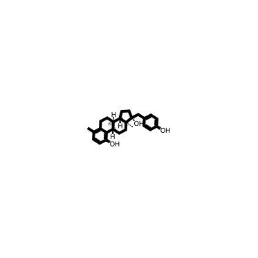 Cc1ccc(O)c2c1CC[C@@H]1[C@@H]2CC[C@@]2(C)[C@H]1CC[C@@]2(O)Cc1ccc(O)cc1